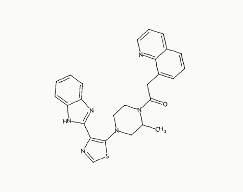 CC1CN(c2scnc2-c2nc3ccccc3[nH]2)CCN1C(=O)Cc1cccc2cccnc12